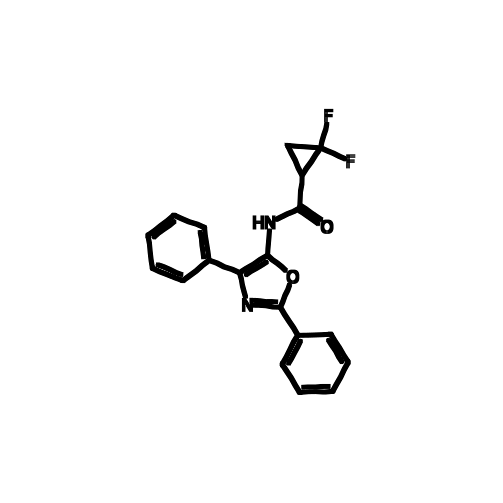 O=C(Nc1oc(-c2ccccc2)nc1-c1ccccc1)C1CC1(F)F